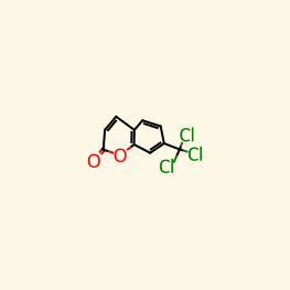 O=c1ccc2ccc(C(Cl)(Cl)Cl)cc2o1